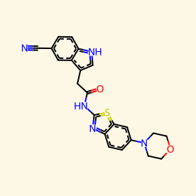 N#Cc1ccc2[nH]cc(CC(=O)Nc3nc4ccc(N5CCOCC5)cc4s3)c2c1